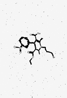 CCOC(=O)C1=C(c2cccc([N+](=O)[O-])c2)C(C(=O)O)=C(C)N(CCCBr)C1C